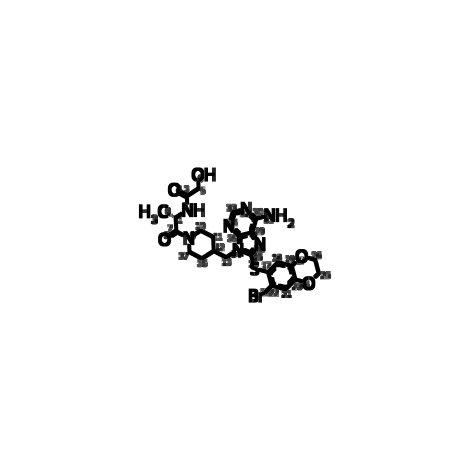 C[C@H](NC(=O)CO)C(=O)N1CCC(Cn2c(Sc3cc4c(cc3Br)OCCO4)nc3c(N)ncnc32)CC1